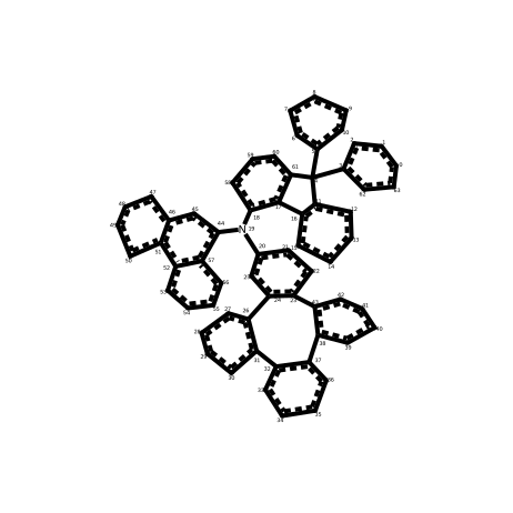 c1ccc(C2(c3ccccc3)c3ccccc3-c3c(N(c4ccc5c(c4)-c4ccccc4-c4ccccc4-c4ccccc4-5)c4cc5ccccc5c5ccccc45)cccc32)cc1